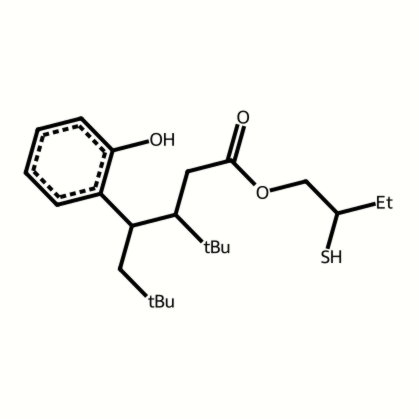 CCC(S)COC(=O)CC(C(CC(C)(C)C)c1ccccc1O)C(C)(C)C